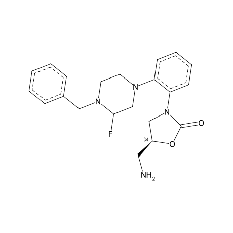 NC[C@H]1CN(c2ccccc2N2CCN(Cc3ccccc3)C(F)C2)C(=O)O1